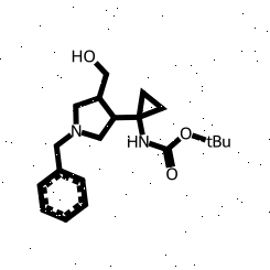 CC(C)(C)OC(=O)NC1(C2CN(Cc3ccccc3)CC2CO)CC1